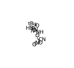 CC(C)(C)C(=O)c1c[nH]c2ncc(Nc3ccc(/C=C(\C#N)C(=O)N4CCOCC4)cc3)nc12